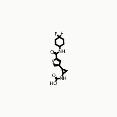 O=C(O)NC1CC1c1csc(C(=O)NC2CCC(F)(F)CC2)c1